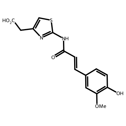 COc1cc(C=CC(=O)Nc2nc(CC(=O)O)cs2)ccc1O